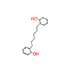 Oc1ccccc1CCCCCCc1ccccc1O